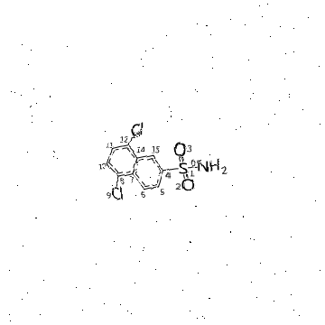 NS(=O)(=O)c1ccc2c(Cl)ccc(Cl)c2c1